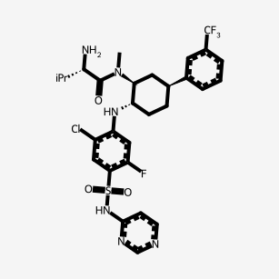 CC(C)[C@H](N)C(=O)N(C)[C@H]1C[C@@H](c2cccc(C(F)(F)F)c2)CC[C@@H]1Nc1cc(F)c(S(=O)(=O)Nc2ccncn2)cc1Cl